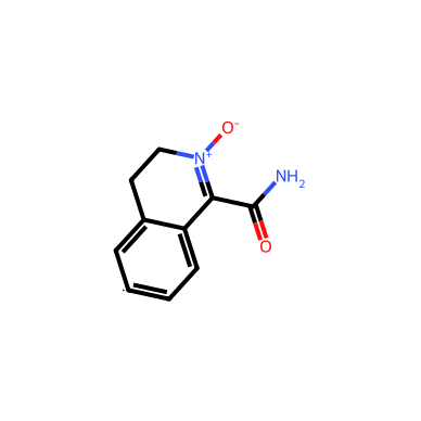 NC(=O)C1=[N+]([O-])CCc2c[c]ccc21